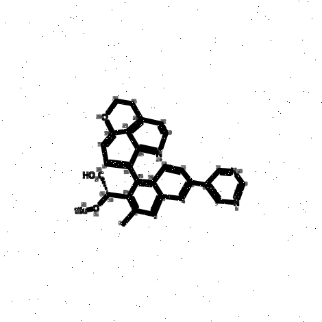 Cc1cc2cc(-c3cncnc3)ccc2c(-c2ccc3c4c(ccnc24)CCO3)c1[C@H](OC(C)(C)C)C(=O)O